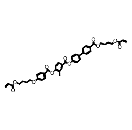 C=CC(=O)OCCCCOC(=O)c1ccc(-c2ccc(OC(=O)c3ccc(OC(=O)c4ccc(OCCCCOC(=O)C=C)cc4)c(C)c3)cc2)cc1